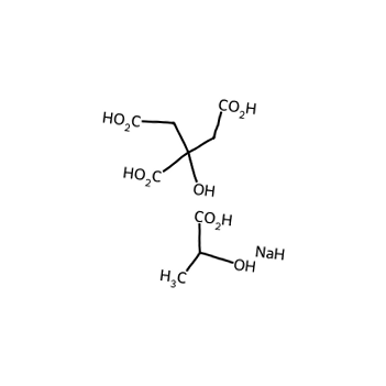 CC(O)C(=O)O.O=C(O)CC(O)(CC(=O)O)C(=O)O.[NaH]